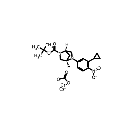 CC(C)(C)OC(=O)N1C[C@@H]2C[C@H]1CN2c1ccc([N+](=O)[O-])c(C2CC2)c1.O=C([O-])[O-].[Cs+].[Cs+]